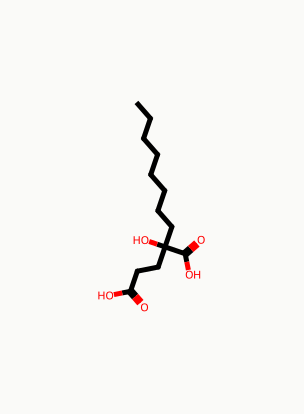 CCCCCCCCC(O)(CCC(=O)O)C(=O)O